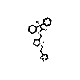 C[N+]1(CCc2ccon2)CCCC1COC(=O)[C@](O)(c1ccccc1)C1CCCCC1